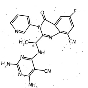 C[C@H](Nc1nc(N)nc(N)c1C#N)c1nc2c(C#N)cc(F)cc2c(=O)n1-c1cccnc1